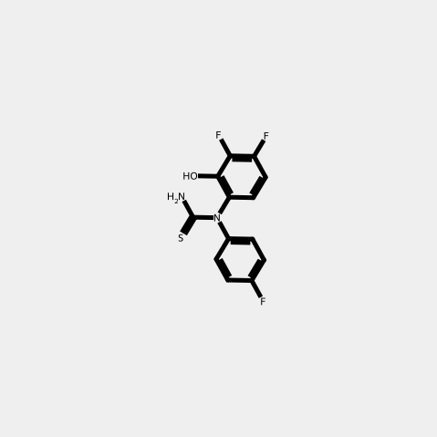 NC(=S)N(c1ccc(F)cc1)c1ccc(F)c(F)c1O